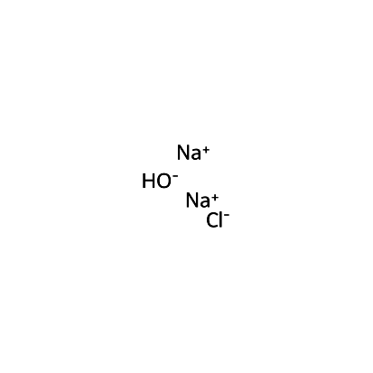 [Cl-].[Na+].[Na+].[OH-]